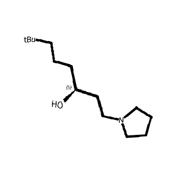 CC(C)(C)CCC[C@H](O)CCN1CCCC1